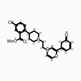 COC(=O)c1cc(Cl)ccc1C1CCN(CCN2C=COC(C3=CC=CC(=O)C3)=C2)CC1